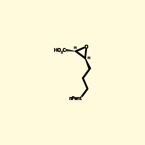 CCCCCCCC[C@@H]1O[C@H]1C(=O)O